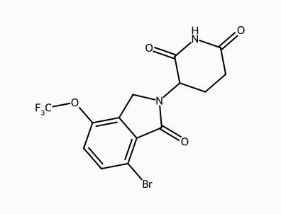 O=C1CCC(N2Cc3c(OC(F)(F)F)ccc(Br)c3C2=O)C(=O)N1